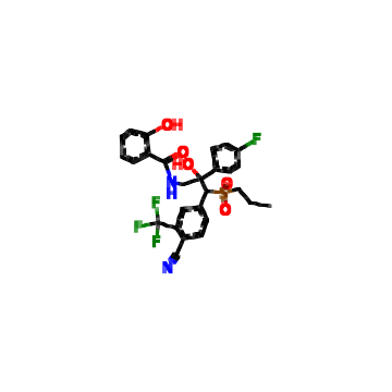 CCCS(=O)(=O)C(c1ccc(C#N)c(C(F)(F)F)c1)C(O)(CNC(=O)c1ccccc1O)c1ccc(F)cc1